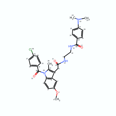 COc1ccc2c(c1)c(CC(=O)NCCNC(=O)c1ccc(N(C)C)cc1)c(C)n2C(=O)c1ccc(Cl)cc1